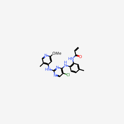 C=CC(=O)Nc1cc(C)ccc1Nc1nc(Nc2cc(OC)ncc2C)ncc1Cl